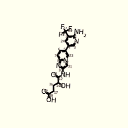 Nc1ncc(-c2ccc3nc(NC(=O)C(O)CCC(=O)O)cn3c2)cc1C(F)(F)F